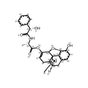 C[C@H](NC(=O)[C@@H](O)c1ccccc1)C(=O)OC1=CC[C@@]2(O)[C@H]3Cc4ccc(O)c5c4C2(CCN3C)C1O5